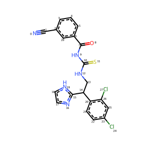 N#Cc1cccc(C(=O)NC(=S)NCC(c2ncc[nH]2)c2ccc(Cl)cc2Cl)c1